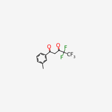 Cc1cccc(C(=O)CC(=O)C(F)(F)C(F)(F)F)c1